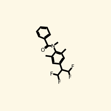 Cc1cc(C(C(F)F)C(F)F)cc(C)c1N(C)C(=O)c1ccccc1